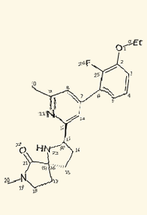 CCOc1cccc(-c2cc(C)nc([C@H]3CC[C@@]4(CCN(C)C4=O)N3)c2)c1F